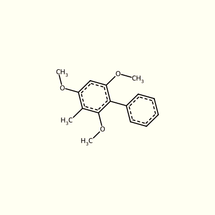 COc1cc(OC)c(-c2ccccc2)c(OC)c1C